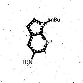 CCCCn1ccc2cc(N)cnc21